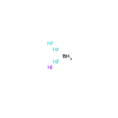 B.F.F.F.I